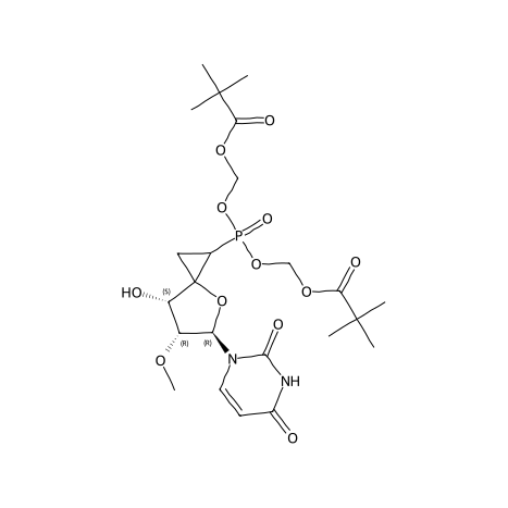 CO[C@H]1[C@H](n2ccc(=O)[nH]c2=O)OC2(CC2P(=O)(OCOC(=O)C(C)(C)C)OCOC(=O)C(C)(C)C)[C@H]1O